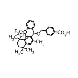 Cc1cc2c(cc1C(OCc1ccc(C(=O)O)cc1)c1ccccc1OC(F)(F)F)C(C)(C)CCC2(C)C